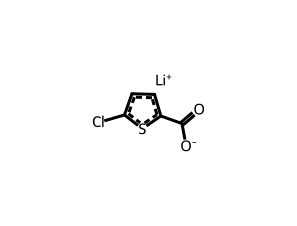 O=C([O-])c1ccc(Cl)s1.[Li+]